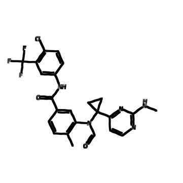 CNc1nccc(C2(N(C=O)c3cc(C(=O)Nc4ccc(Cl)c(C(F)(F)F)c4)ccc3C)CC2)n1